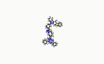 Cc1c2c(cc3c1c1ccccc1n3-c1cccc(-c3nc4cc(-c5nc(-c6ccccc6)nc(-c6ccccc6)n5)ccc4s3)c1)sc1ccccc12